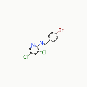 Clc1cnc(/N=C/c2ccc(Br)cc2)c(Cl)c1